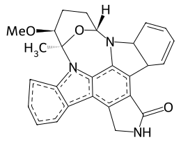 CO[C@H]1CC[C@H]2O[C@@]1(C)n1c3ccccc3c3c4c(c5c(c31)N2C1C=CC=CC51)C(=O)NC4